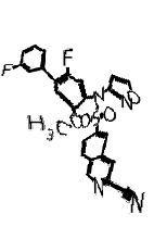 COc1cc(-c2cccc(F)c2)c(F)cc1N(c1ccon1)S(=O)(=O)c1ccc2cnc(C#N)cc2c1